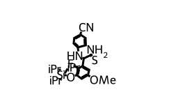 COc1cc(O[Si](C(C)C)(C(C)C)C(C)C)c(F)c(C(Nc2ccc(C#N)cc2)C(N)=S)c1